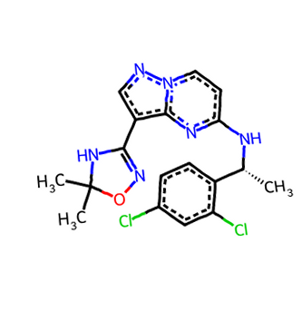 C[C@@H](Nc1ccn2ncc(C3=NOC(C)(C)N3)c2n1)c1ccc(Cl)cc1Cl